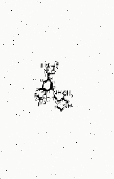 C[C@@H]1CNCC[C@@H]1[C@H](C)Nc1cc(-c2n[nH]c(=O)o2)cc(F)c1OC(F)F